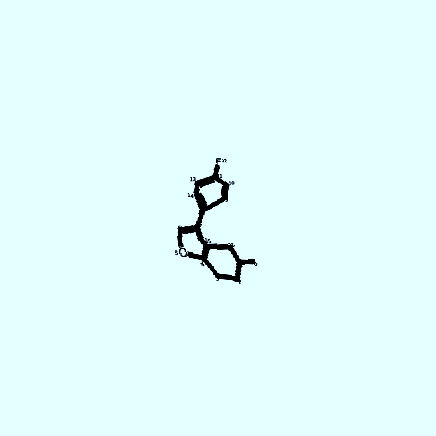 CC1CCC2OC=C(c3ccc(F)cc3)C2C1